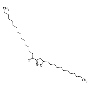 CCCCCCCCCCCCCCCC(=O)C1=NOC(CCCCCCCCCCCC)C1